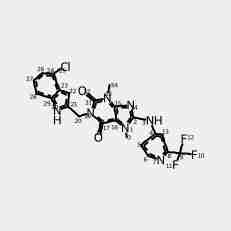 Cn1c(Nc2ccnc(C(F)(F)F)c2)nc2c1c(=O)n(Cc1cc3c(Cl)cccc3[nH]1)c(=O)n2C